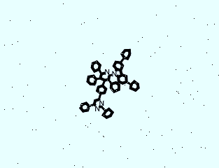 c1ccc(-c2ccc3c(c2)c2cc(-c4ccccc4)ccc2n3-c2nc(-c3ccccc3)c(-c3ccccc3)c(-c3ccc(-c4cc(-c5ccccc5)nc(-c5ccccc5)n4)cc3)c2-c2ccccc2)cc1